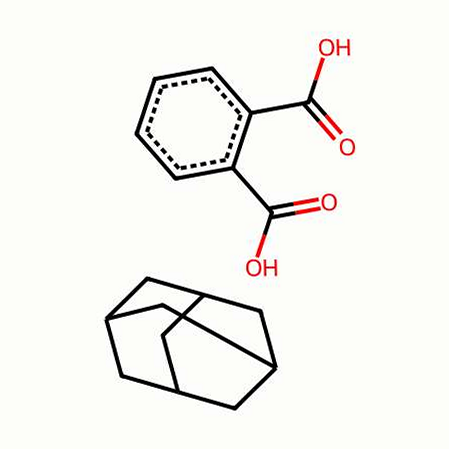 C1C2CC3CC1CC(C2)C3.O=C(O)c1ccccc1C(=O)O